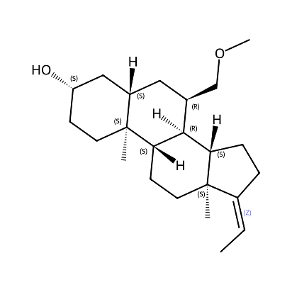 C/C=C1/CC[C@H]2[C@@H]3[C@H](COC)C[C@H]4C[C@@H](O)CC[C@]4(C)[C@H]3CC[C@]12C